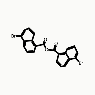 O=C(OC(=O)c1cccc2c(Br)cccc12)c1cccc2c(Br)cccc12